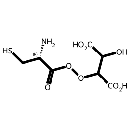 N[C@@H](CS)C(=O)OOC(C(=O)O)C(O)C(=O)O